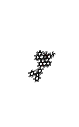 CC(C)(C)c1cc(-c2cccc3cccc(-c4ccccc4N(c4ccc(-c5ccc6c7ccccc7n(-c7ccccc7)c6c5)cc4)c4cccc5ccccc45)c23)cc(C(C)(C)C)c1